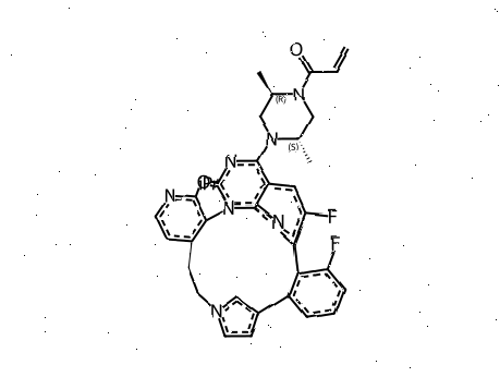 C=CC(=O)N1C[C@H](C)N(c2nc(=O)n3c4nc(c(F)cc24)-c2c(F)cccc2-c2ccn(c2)CCc2ccnc(C(C)C)c2-3)C[C@H]1C